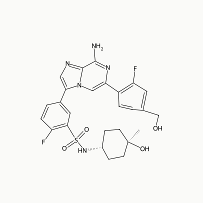 C[C@]1(O)CC[C@H](NS(=O)(=O)c2cc(-c3cnc4c(N)nc(-c5ccc(CO)cc5F)cn34)ccc2F)CC1